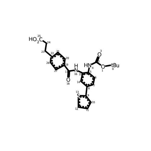 CC(C)(C)OC(=O)Nc1ccc(-c2cccs2)cc1NC(=O)c1ccc(CCC(=O)O)cc1